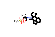 CC(CO)(COS(C)(=O)=O)NCc1c2c3c(cccc3c3ccccc13)C=C2